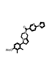 COc1ccc(C2CC=C3CN(C(=O)c4ccc(-n5cccc5)nc4)CCN32)c(C)c1C